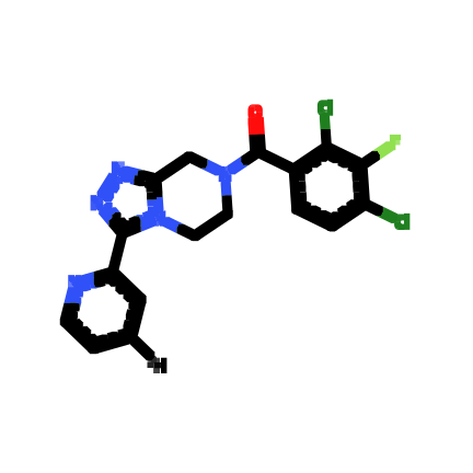 [2H]c1ccnc(-c2nnc3n2CCN(C(=O)c2ccc(Cl)c(F)c2Cl)C3)c1